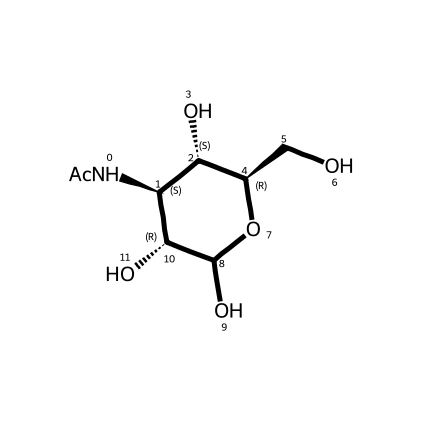 CC(=O)N[C@H]1[C@H](O)[C@@H](CO)OC(O)[C@@H]1O